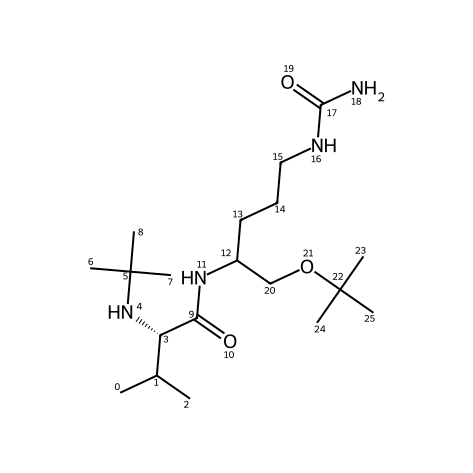 CC(C)[C@H](NC(C)(C)C)C(=O)NC(CCCNC(N)=O)COC(C)(C)C